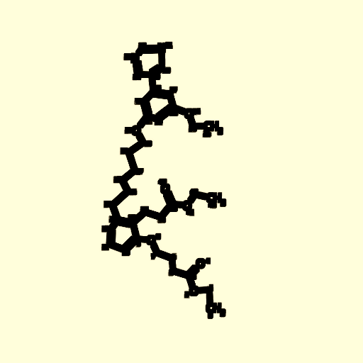 CCOC(=O)CCCOc1cccc(CCCCCCOc2cc(OCC)cc(-c3cncnc3)c2)c1CCC(=O)OCC